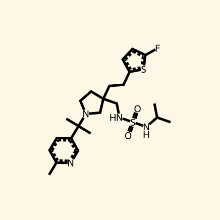 Cc1ccc(C(C)(C)N2CCC(CCc3ccc(F)s3)(CNS(=O)(=O)NC(C)C)C2)cn1